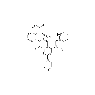 C#Cc1c(F)ccc2cncc(-c3ncc4c(N(C)C[C@@H]5CCCCN5)nc(N5CCOCC5)nc4c3F)c12